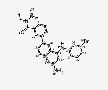 CCN(C(=O)c1cccc(-c2ccc3nc(N)nc(Nc4cccc(Br)c4)c3c2)c1)N(C)C